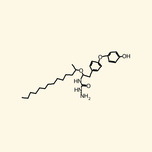 CCCCCCCCCCCCC(C)OC(Cc1ccc(Oc2ccc(O)cc2)cc1)NC(=O)NN